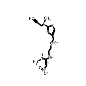 Br.C#CCN(C)c1nc(CSCCN/C(=C/[N+](=O)[O-])NC)cs1